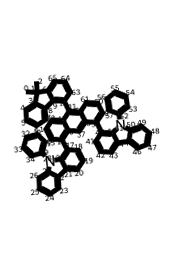 CC1(C)c2ccccc2-c2c(-c3c4cccc(-c5cccc6c7ccccc7n(-c7ccccc7)c56)c4cc4c(-c5cccc6c7ccccc7n(-c7ccccc7)c56)cccc34)cccc21